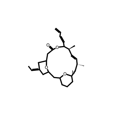 C=C/C=C/C1OC(=O)CC2C/C(=C\C)CC(CC3CCC[C@H](C[C@@H](C)/C=C/[C@@H]1C)O3)O2